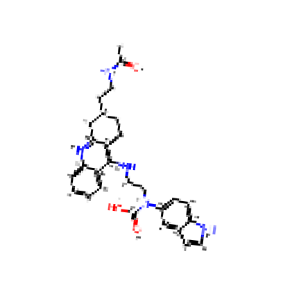 CC(=O)NCCC1CCc2c(nc3ccccc3c2NCCN(C(=O)O)c2ccc3[nH]ccc3c2)C1